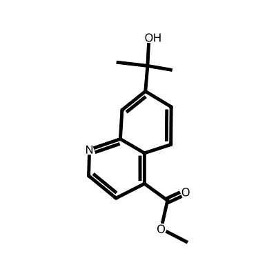 COC(=O)c1ccnc2cc(C(C)(C)O)ccc12